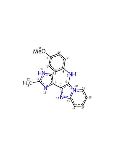 COc1ccc(Nc2c(-c3c[nH]c(C)n3)nc3ccccn23)cc1